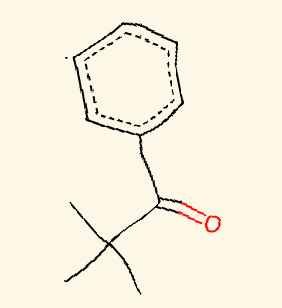 CC(C)(C)C(=O)c1c[c]ccc1